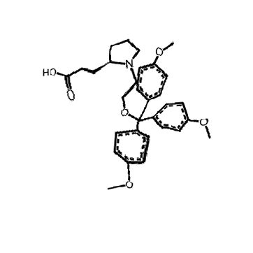 COc1ccc(C(OCCN2CCC[C@@H]2CCC(=O)O)(c2ccc(OC)cc2)c2ccc(OC)cc2)cc1